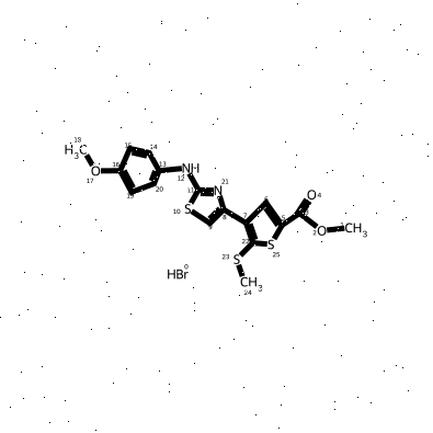 Br.COC(=O)c1cc(-c2csc(Nc3ccc(OC)cc3)n2)c(SC)s1